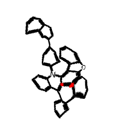 c1ccc(N(c2ccc(-c3ccc4ccccc4c3)cc2)c2cccc3oc4ccccc4c23)c(-c2cc3ccccc3c3ccccc23)c1